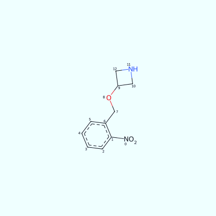 O=[N+]([O-])c1ccccc1COC1CNC1